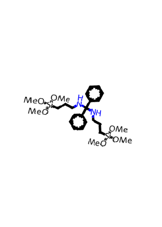 CO[Si](CCCNC(NCCC[Si](OC)(OC)OC)(c1ccccc1)c1ccccc1)(OC)OC